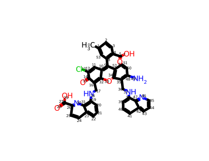 Cc1ccc(C(=O)O)c(-c2c3cc(Cl)c(=O)c(CNc4cccc5ccc(C(=O)O)nc45)c-3oc3c(CNc4cccc5cccnc45)c(N)ccc23)c1